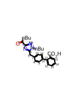 CCCCC(=O)c1nc(Cc2ccc(-c3ccccc3C(=O)O)cc2)n(CCCC)n1